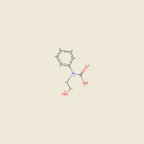 O=C(O)N(CCO)c1ccccc1